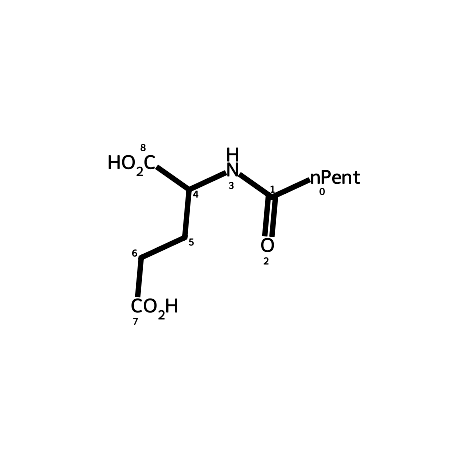 CCCCCC(=O)NC(CCC(=O)O)C(=O)O